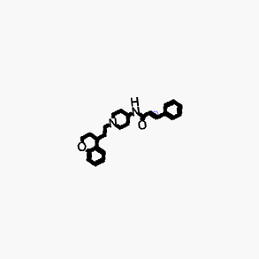 O=C(/C=C/c1ccccc1)NC1CCN(CCC2CCOc3ccccc32)CC1